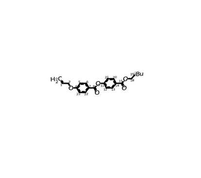 C=CCOc1ccc(C(=O)Oc2ccc(C(=O)OCC(C)CC)cc2)cc1